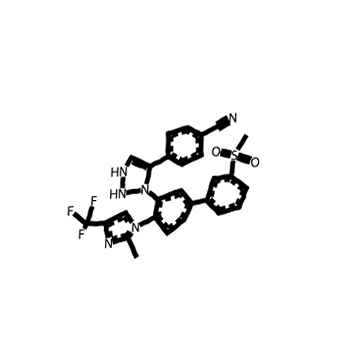 Cc1nc(C(F)(F)F)cn1-c1ccc(-c2cccc(S(C)(=O)=O)c2)cc1N1NNC=C1c1ccc(C#N)cc1